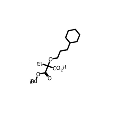 CCC(C)OC(=O)C(CC)(OCCCC1CCCCC1)C(=O)O